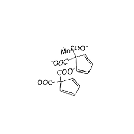 O=C([O-])C1(C(=O)[O-])C=CC=C1.O=C([O-])C1(C(=O)[O-])C=CC=C1.[Mn+4]